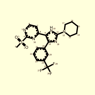 CS(=O)(=O)c1nccc(-c2[nH]c(N3CC[CH]CC3)nc2-c2cccc(C(F)(F)F)c2)n1